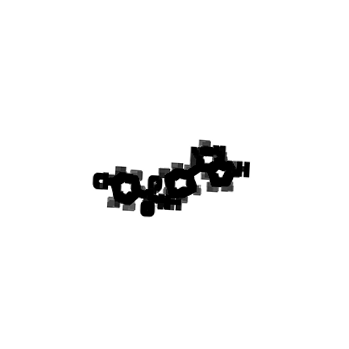 O=S(=O)(Nc1ccc(-c2ncnc3[nH]ccc23)cc1)c1ccc(Cl)cc1